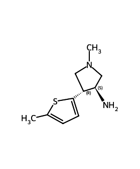 Cc1ccc([C@@H]2CN(C)C[C@H]2N)s1